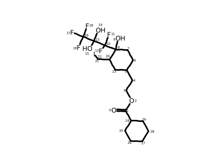 O=C(OCCC1CCC(O)(C(F)(F)C(O)(O)C(F)(F)F)C(CI)C1)C1CCCCC1